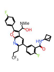 CNC(O)c1c(-c2ccc(F)cc2)oc2nc(CCC(F)(F)F)c(-c3ccc(F)c(C(=O)NC45CC(C4)C5)c3)cc12